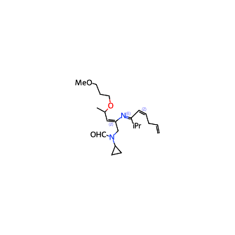 C=CC\C=C/C(=N/C(=C\C(C)OCCCOC)CN(C=O)C1CC1)C(C)C